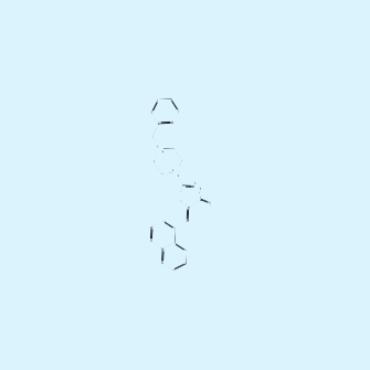 O=C1N=C(N2CCN(Cc3ccccc3)CC2)S/C1=C\c1cccc2ccccc12